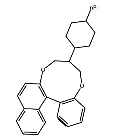 CCCC1CCC(C2COc3ccc4c(c3-c3c(ccc5ccccc35)OC2)CCCC4)CC1